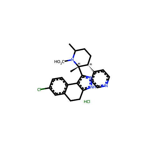 CC1CC[C@H](c2ccncc2)[C@](C)(c2n[nH]c3c2-c2ccc(Cl)cc2CC3)N1C(=O)O.Cl